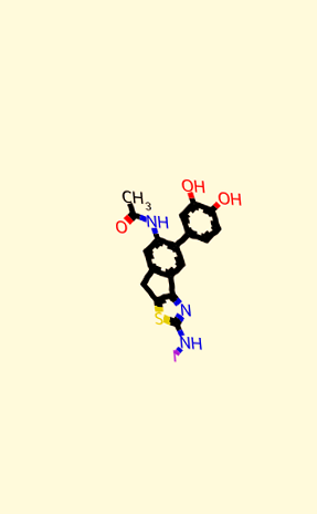 CC(=O)Nc1cc2c(cc1-c1ccc(O)c(O)c1)-c1nc(NI)sc1C2